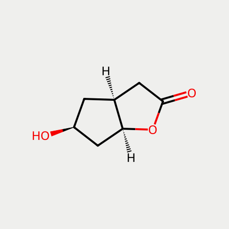 O=C1C[C@@H]2C[C@H](O)C[C@@H]2O1